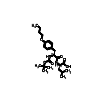 CCCCOc1ccc(C[C@H](NC(=O)OC(C)(C)C)C(=O)N[C@@H](CC(C)C)C(=O)O)cc1